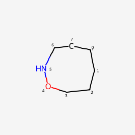 [CH]1CCCONCC1